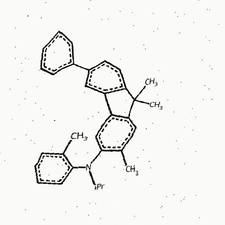 Cc1ccccc1N(c1cc2c(cc1C)C(C)(C)c1ccc(-c3ccccc3)cc1-2)C(C)C